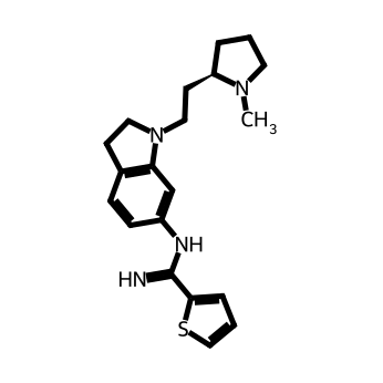 CN1CCC[C@@H]1CCN1CCc2ccc(NC(=N)c3cccs3)cc21